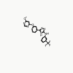 COc1cc(Oc2cccc(-c3nnc(Nc4cccc(C(F)(F)F)c4)[nH]3)c2)ncn1